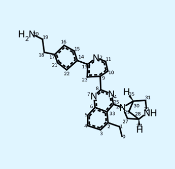 CCc1cccc2nc(-c3ccnc(-c4ccc(CCN)cc4)c3)nc(N3C[C@@H]4C[C@H]3CN4)c12